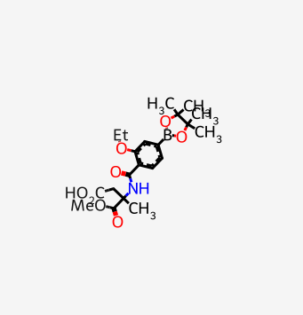 CCOc1cc(B2OC(C)(C)C(C)(C)O2)ccc1C(=O)NC(C)(CC(=O)O)C(=O)OC